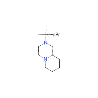 CCCC(C)(C)N1CCN2CCCCC2C1